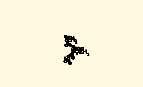 CC1(C)c2ccccc2-c2ccc(-n3c4ccccc4c4cc(-c5ccc6c(c5)c5cc(-c7ccc8c(c7)c7ccccc7n8-c7cccc(-c8nc(-c9ccccc9)c9ccccc9n8)c7)ccc5n6-c5ccc6c(c5)C(C)(C)c5ccccc5-6)ccc43)cc21